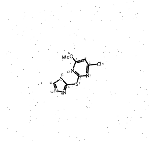 COc1cc(Cl)nc(Sc2nncs2)n1